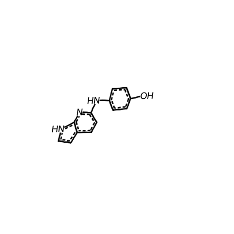 Oc1ccc(Nc2ccc3cc[nH]c3n2)cc1